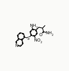 CC(Cc1cc([N+](=O)[O-])c(Sc2cccc3cnccc23)cc1N)C(N)=O